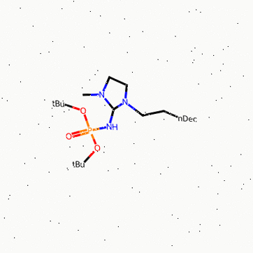 CCCCCCCCCCCCN1CCN(C)C1NP(=O)(OC(C)(C)C)OC(C)(C)C